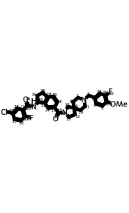 COc1ccc(CN2CCC3(CC2)CCN(C(=O)c2ccc4c(c2)C(NC(=O)c2cc(Cl)ccc2F)CC4)C3)cc1F